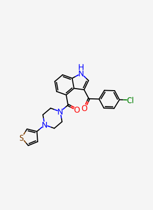 O=C(c1ccc(Cl)cc1)c1c[nH]c2cccc(C(=O)N3CCN(c4ccsc4)CC3)c12